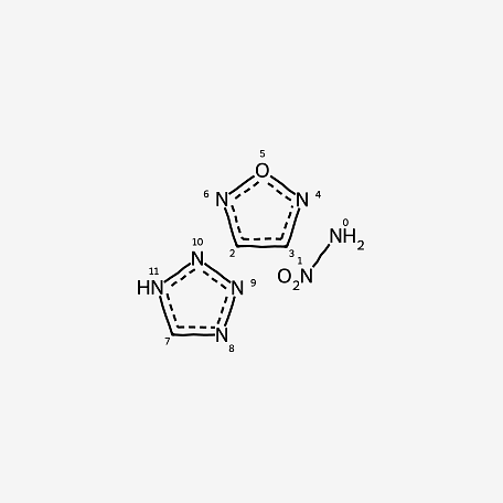 N[N+](=O)[O-].c1cnon1.c1nnn[nH]1